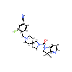 CC1(C)CN(C(=O)N2CCC3(CCN(Cc4ccc(C#N)cc4F)CC3)C2)c2cccnc21